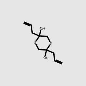 C=CCC1(O)CSC(O)(CC=C)CS1